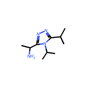 CC(C)c1nnc(C(C)N)n1C(C)C